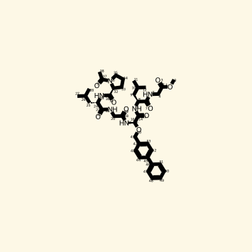 COC(=O)CNC(=O)[C@H](CC(C)C)NC(=O)[C@H](NC(=O)CNC(=O)[C@H](CC(C)C)NC(=O)[C@@H]1CCCN1C(C)=O)OCc1ccc(-c2ccccc2)cc1